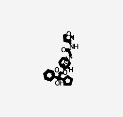 O=C(C[N+]12CCC(CC1)[C@@H](OC(=O)C(O)(c1ccccc1)C1CCCC1)C2)Nc1ccon1